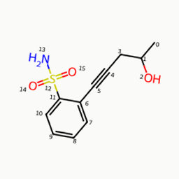 CC(O)CC#Cc1ccccc1S(N)(=O)=O